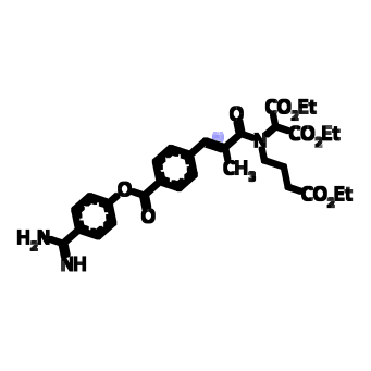 CCOC(=O)CCCN(C(=O)/C(C)=C/c1ccc(C(=O)Oc2ccc(C(=N)N)cc2)cc1)C(C(=O)OCC)C(=O)OCC